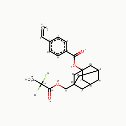 C=Cc1ccc(C(=O)OC23CC4CC(CC(COC(=O)C(F)(F)S(=O)(=O)O)(C4)C2)C3)cc1